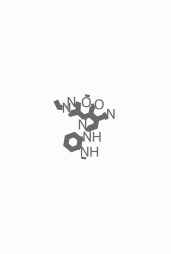 CCn1cc(-c2nc(NC3CCCCC3NC)cc(C#N)c2C(=O)OC)cn1